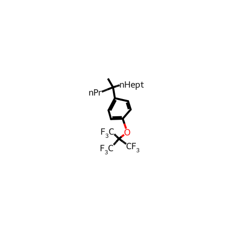 CCCCCCCC(C)(CCC)c1ccc(OC(C(F)(F)F)(C(F)(F)F)C(F)(F)F)cc1